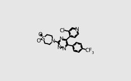 O=S1(=O)CCN(c2nnc(-c3ccc(C(F)(F)F)cc3)c(-c3ccncc3Cl)n2)CC1